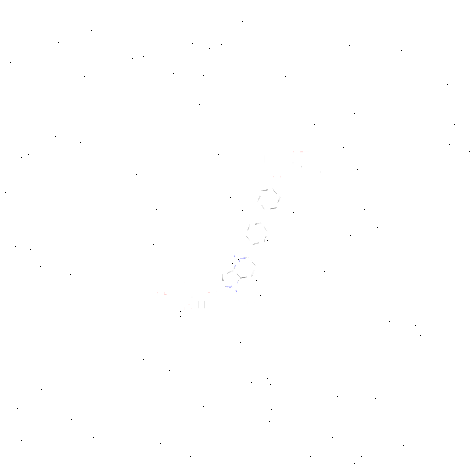 CC(C)(O)COc1ccc(-c2ccc(-c3nc4cc(O[C@@H]5COC6[C@H](O)CO[C@@H]65)n(C5CCCCO5)c4cc3F)cc2)cc1